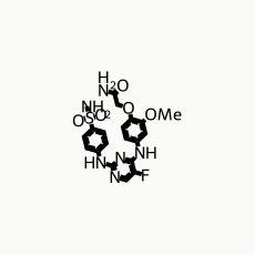 COc1cc(Nc2nc(Nc3ccc(S(N)(=O)=O)cc3)ncc2F)ccc1OCC(N)=O